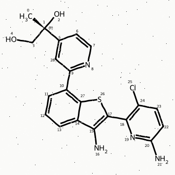 C[C@](O)(CO)c1ccnc(-c2cccc3c(N)c(-c4nc(N)ccc4Cl)sc23)c1